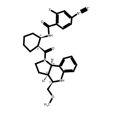 [C-]#[N+]c1ccc(C(=O)N[C@@H]2CCCC[C@@H]2C(=O)N2CC[C@@H]3[C@H](COC)Nc4ccccc4[C@@H]32)c(F)c1